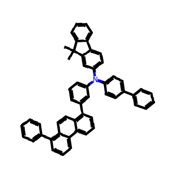 CC1(C)c2ccccc2-c2ccc(N(c3ccc(-c4ccccc4)cc3)c3cccc(-c4cccc5c4ccc4c(-c6ccccc6)cccc45)c3)cc21